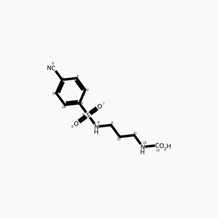 N#Cc1ccc(S(=O)(=O)NCCCNC(=O)O)cc1